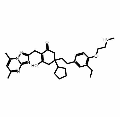 CCc1cc(CCC2(C3CCCC3)CC(=O)C(Cc3nc4nc(C)cc(C)n4n3)=C(O)C2)ccc1OCCNC